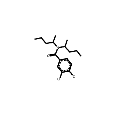 CCCC(C)N(C(=O)c1ccc(Cl)c(Cl)c1)C(C)CCC